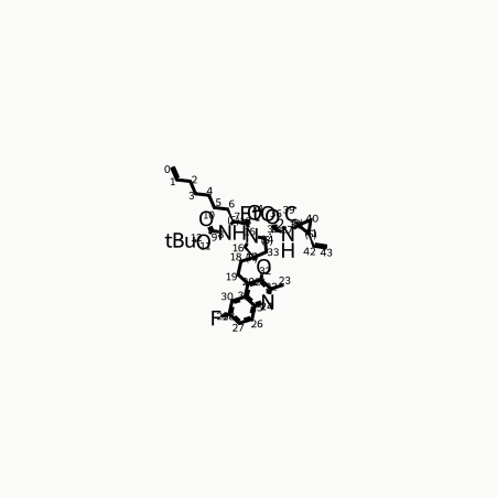 C=CCCCCC[C@H](NC(=O)OC(C)(C)C)C(=O)N1C[C@@]2(CCc3c(c(C)nc4ccc(F)cc34)O2)C[C@H]1C(=O)N[C@]1(C(=O)OCC)C[C@H]1C=C